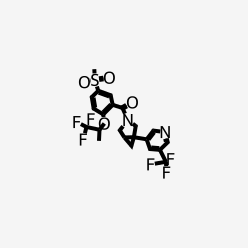 CC(Oc1ccc(S(C)(=O)=O)cc1C(=O)N1CC2CC2(c2cncc(C(F)(F)F)c2)C1)C(F)(F)F